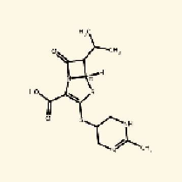 CC1=NCC(SC2=C(C(=O)O)N3C(=O)C(C(C)C)[C@@H]3S2)CN1